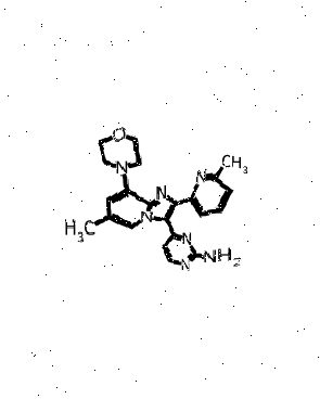 Cc1cc(N2CCOCC2)c2nc(-c3cccc(C)n3)c(-c3ccnc(N)n3)n2c1